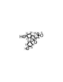 COC(=O)CN(C(=O)Oc1ccc(OC)cc1)[C@@H](C)c1ccc(O)cc1